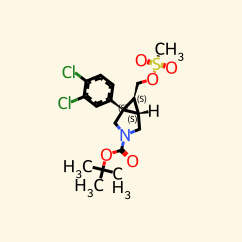 CC(C)(C)OC(=O)N1C[C@H]2[C@H](COS(C)(=O)=O)[C@@]2(c2ccc(Cl)c(Cl)c2)C1